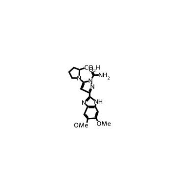 COc1cc2nc(-c3[c]c(N4CCCC4C(=O)O)n(C(N)=O)n3)[nH]c2cc1OC